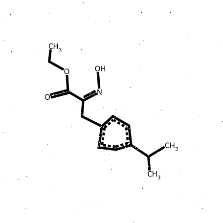 CCOC(=O)C(Cc1ccc(C(C)C)cc1)=NO